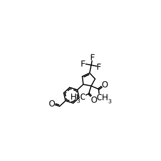 CC(=O)C1(C(C)=O)CC(C(F)(F)F)=CC1c1ccc(C=O)cc1